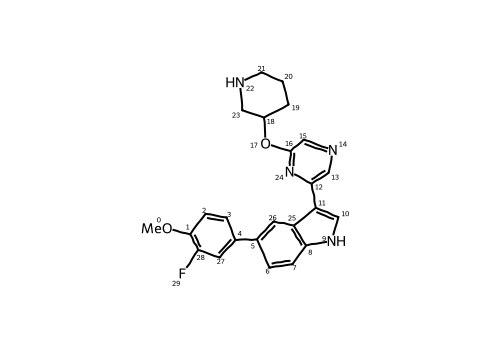 COc1ccc(-c2ccc3[nH]cc(-c4cncc(OC5CCCNC5)n4)c3c2)cc1F